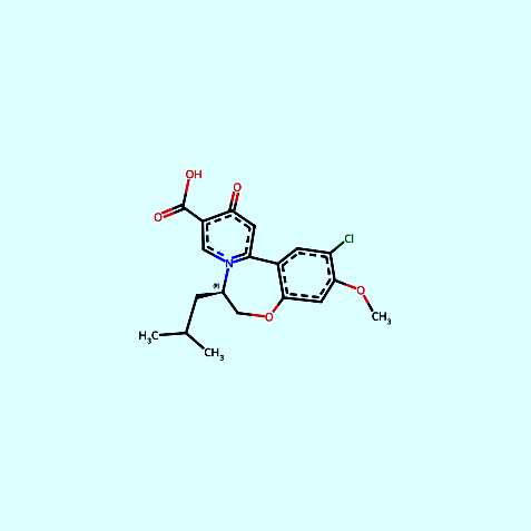 COc1cc2c(cc1Cl)-c1cc(=O)c(C(=O)O)cn1[C@H](CC(C)C)CO2